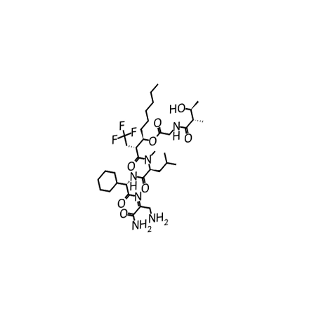 CCCCCC[C@@H](OC(=O)CNC(=O)[C@@H](C)[C@H](C)O)[C@@H](CC(F)(F)F)C(=O)N(C)[C@@H](CC(C)C)C(=O)N[C@H](C(=O)/N=C(/CN)C(N)=O)C1CCCCC1